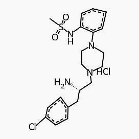 CS(=O)(=O)Nc1ccccc1N1CCN(C[C@@H](N)Cc2ccc(Cl)cc2)CC1.Cl